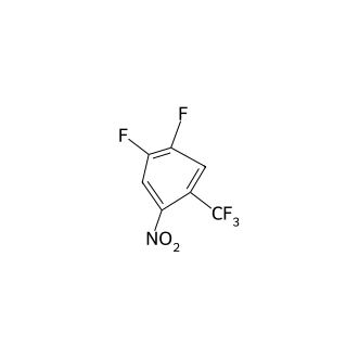 O=[N+]([O-])c1cc(F)c(F)cc1C(F)(F)F